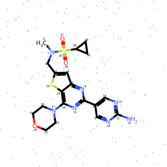 CN(Cc1cc2nc(-c3cnc(N)nc3)nc(N3CCOCC3)c2s1)S(=O)(=O)C1CC1